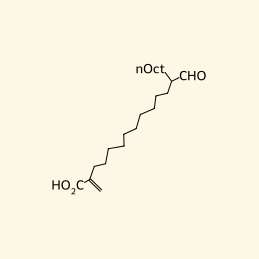 C=C(CCCCCCCCCCC(C=O)CCCCCCCC)C(=O)O